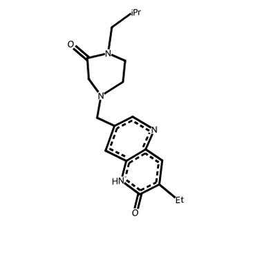 CCc1cc2ncc(CN3CCN(CC(C)C)C(=O)C3)cc2[nH]c1=O